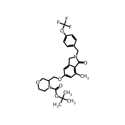 Cc1cc(OCC2COCCN2C(=O)OC(C)(C)C)cc2c1C(=O)N(Cc1ccc(OC(F)(F)F)cc1)C2